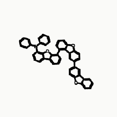 c1ccc(N(c2ccccc2)c2cccc3c2oc2c(-c4cccc5oc6ccc(-c7ccc8oc9ccccc9c8c7)cc6c45)cccc23)cc1